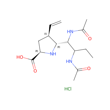 C=C[C@@H]1C[C@H](C(=O)O)N[C@H]1C(NC(C)=O)C(CC)NC(C)=O.Cl